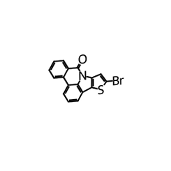 O=c1c2ccccc2c2cccc3c4sc(Br)cc4n1c23